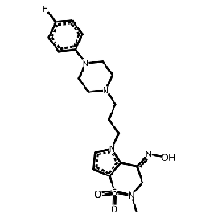 CN1C/C(=N\O)c2c(ccn2CCCN2CCN(c3ccc(F)cc3)CC2)S1(=O)=O